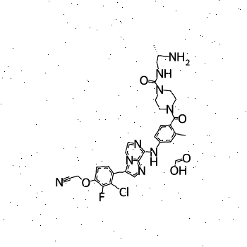 Cc1cc(Nc2nccn3c(-c4ccc(OCC#N)c(F)c4Cl)cnc23)ccc1C(=O)N1CCN(C(=O)NC[C@H](C)N)CC1.O=CO